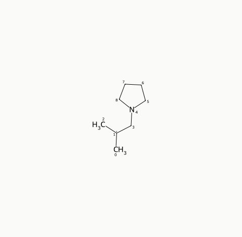 C[C](C)CN1CCCC1